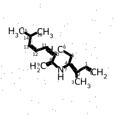 C=C/C(C)=C(\CC)NC(=C)/C=C\C=C/C(C)C